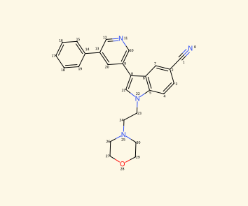 N#Cc1ccc2c(c1)c(-c1cncc(-c3ccccc3)c1)cn2CCN1CCOCC1